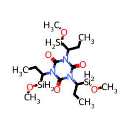 CCC([SiH2]OC)n1c(=O)n(C(CC)[SiH2]OC)c(=O)n(C(CC)[SiH2]OC)c1=O